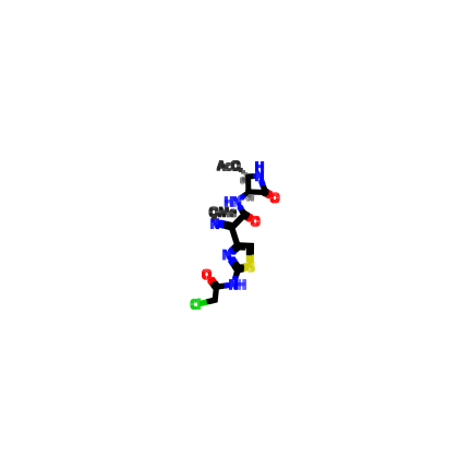 CON=C(C(=O)N[C@@H]1C(=O)N[C@H]1OC(C)=O)c1csc(NC(=O)CCl)n1